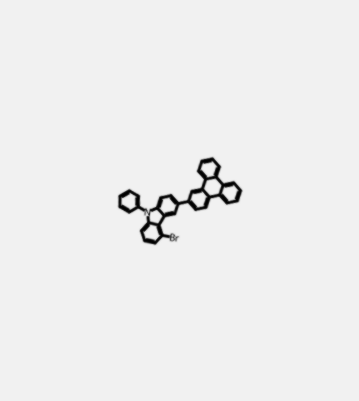 Brc1cccc2c1c1cc(-c3ccc4c5ccccc5c5ccccc5c4c3)ccc1n2-c1ccccc1